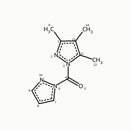 Cc1nn(C(=O)n2cccn2)c(C)c1C